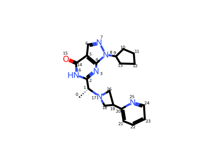 C[C@H](c1nc2c(cnn2C2CCCC2)c(=O)[nH]1)N1CC(c2ccccn2)C1